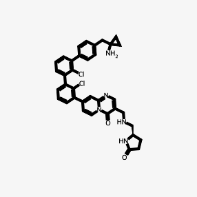 NC1(Cc2ccc(-c3cccc(-c4cccc(-c5ccn6c(=O)c(CNC[C@H]7CCC(=O)N7)cnc6c5)c4Cl)c3Cl)cc2)CC1